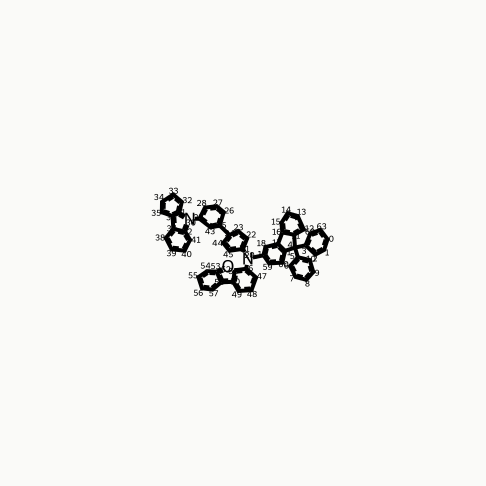 c1ccc(C2(c3ccccc3)c3ccccc3-c3cc(N(c4ccc(-c5cccc(-n6c7ccccc7c7ccccc76)c5)cc4)c4cccc5c4oc4ccccc45)ccc32)cc1